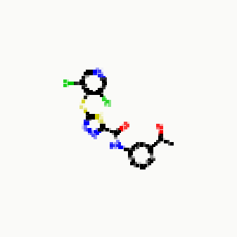 CC(=O)c1cccc(NC(=O)c2nnc(Sc3c(Cl)cncc3Cl)s2)c1